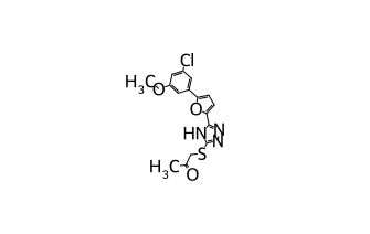 COc1cc(Cl)cc(-c2ccc(-c3nnc(SCC(C)=O)[nH]3)o2)c1